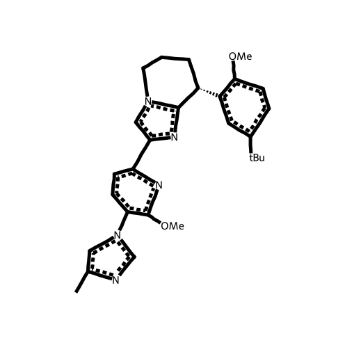 COc1ccc(C(C)(C)C)cc1[C@H]1CCCn2cc(-c3ccc(-n4cnc(C)c4)c(OC)n3)nc21